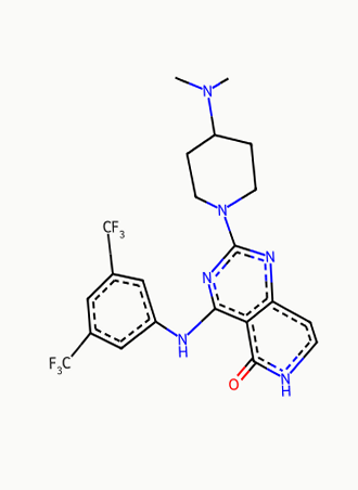 CN(C)C1CCN(c2nc(Nc3cc(C(F)(F)F)cc(C(F)(F)F)c3)c3c(=O)[nH]ccc3n2)CC1